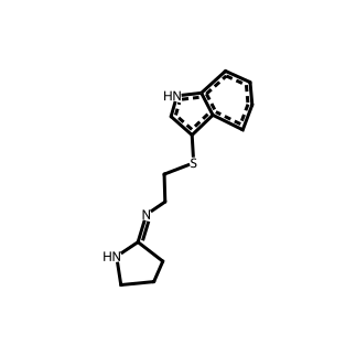 c1ccc2c(SCC/N=C3\CCCN3)c[nH]c2c1